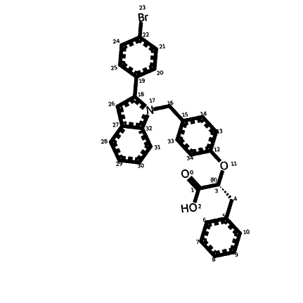 O=C(O)[C@@H](Cc1ccccc1)Oc1ccc(Cn2c(-c3ccc(Br)cc3)cc3ccccc32)cc1